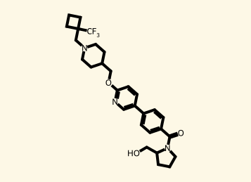 O=C(c1ccc(-c2ccc(OCC3CCN(CC4(C(F)(F)F)CCC4)CC3)nc2)cc1)N1CCCC1CO